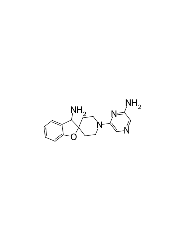 Nc1cncc(N2CCC3(CC2)Oc2ccccc2C3N)n1